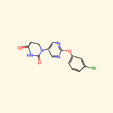 O=C1CCN(c2cnc(Oc3cccc(Br)c3)nc2)C(=O)N1